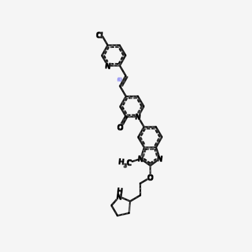 Cn1c(OCCC2CCCN2)nc2ccc(-n3ccc(/C=C/c4ccc(Cl)cn4)cc3=O)cc21